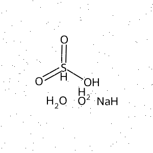 O.O.O=[SH](=O)O.[NaH]